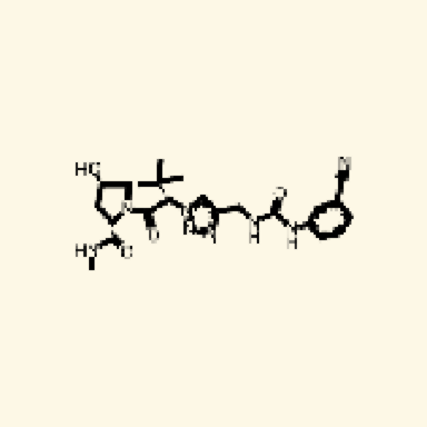 CNC(=O)[C@@H]1C[C@@H](O)CN1C(=O)[C@@H](n1cc(CNC(=O)Nc2cccc(C#N)c2)nn1)C(C)(C)C